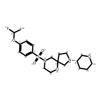 O=S(=O)(c1ccc(OC(F)F)cc1)N1CCOC2(CCN([C@H]3CCCOC3)C2)C1